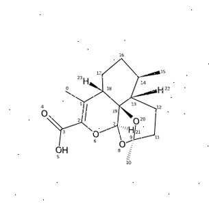 CC1=C(C(=O)O)O[C@@H]2O[C@]3(C)CC[C@H]4[C@H](C)CC[C@@H]1[C@@]24O3